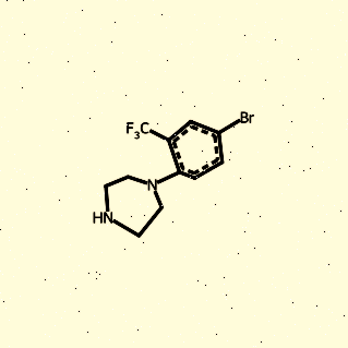 FC(F)(F)c1cc(Br)ccc1N1CCNCC1